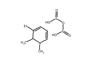 CCC1=CC=CN(C)C1C.O=S(O)OS(=O)O